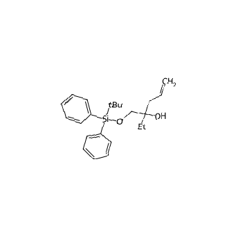 C=CCC(O)(CC)CO[Si](c1ccccc1)(c1ccccc1)C(C)(C)C